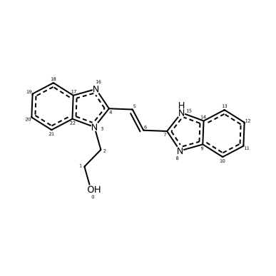 OCCn1c(C=Cc2nc3ccccc3[nH]2)nc2ccccc21